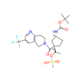 CC(OS(C)(=O)=O)[C@]1(C(=O)N2CCc3ncc(C(F)(F)F)cc3C2)CC[C@@H](NC(=O)OC(C)(C)C)C1